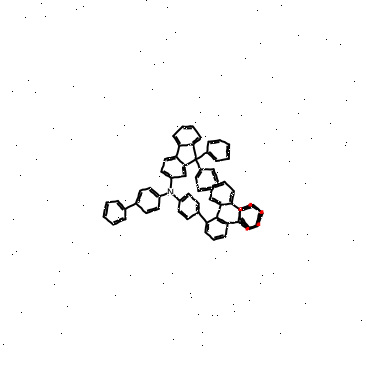 c1ccc(-c2ccc(N(c3ccc(-c4cccc(-c5ccccc5)c4-c4ccccc4-c4ccccc4)cc3)c3ccc4c(c3)C(c3ccccc3)(c3ccccc3)c3ccccc3-4)cc2)cc1